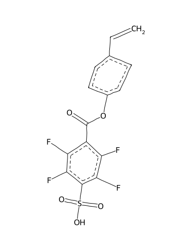 C=Cc1ccc(OC(=O)c2c(F)c(F)c(S(=O)(=O)O)c(F)c2F)cc1